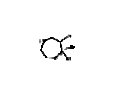 CC(C)C1CNCCO[C@@]1(S)C(C)C